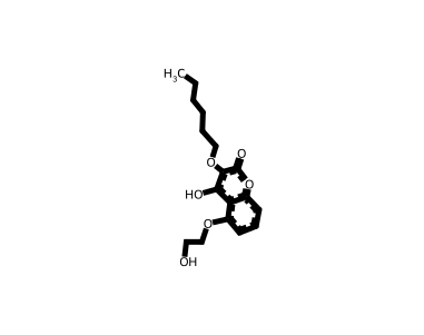 CCCCCCOc1c(O)c2c(OCCO)cccc2oc1=O